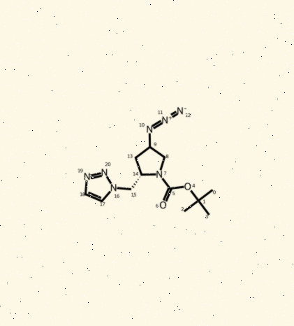 CC(C)(C)OC(=O)N1CC(N=[N+]=[N-])C[C@H]1Cn1ccnn1